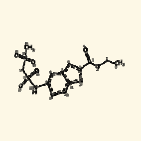 CCOC(=O)c1cn2cc(NS(=O)(=O)CS(C)(=O)=O)ccc2n1